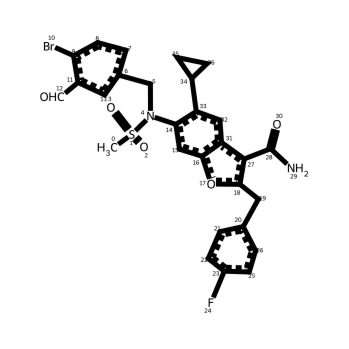 CS(=O)(=O)N(Cc1ccc(Br)c(C=O)c1)c1cc2oc(Cc3ccc(F)cc3)c(C(N)=O)c2cc1C1CC1